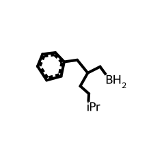 BCC(CCC(C)C)Cc1ccccc1